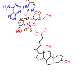 CO[C@H]1C(OP(=O)(O[C@H]2O[C@@H](n3cnc4c(N)ncnc43)C[C@H]2O)SCOC(=O)CCCC(C)C2CCC3C4CCC5CC(O)CCC5(C)C4CC(O)C23C)[C@@H](CO)O[C@H]1n1ccc(=O)[nH]c1=O